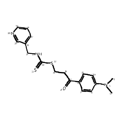 CN(C)c1ccc(C(=O)CCSC(=S)NCc2cccnc2)cc1